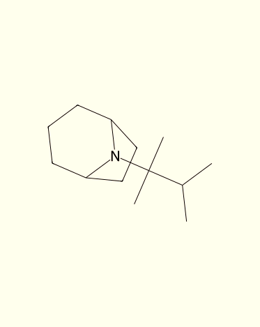 CC(C)C(C)(C)N1C2CCCC1CC2